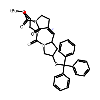 C=CCOC(=O)N1CC(SC(c2ccccc2)(c2ccccc2)c2ccccc2)CC1/C=C1/CCN(C(=O)OC(C)(C)C)C1=O